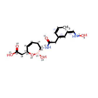 C\C=C/C(=C\C=C/NO)CC(=O)N[C@H]1CC=C[C@H](CC(=O)O)OB1O